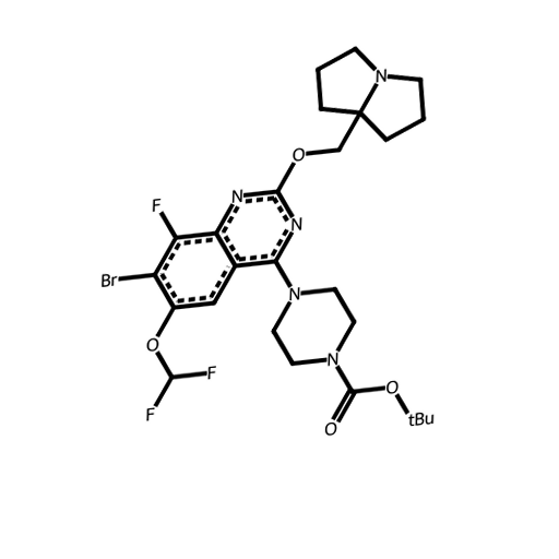 CC(C)(C)OC(=O)N1CCN(c2nc(OCC34CCCN3CCC4)nc3c(F)c(Br)c(OC(F)F)cc23)CC1